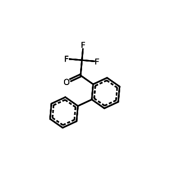 O=C(c1ccccc1-c1ccccc1)C(F)(F)F